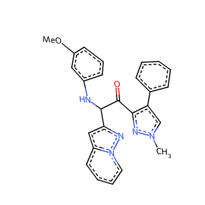 COc1cccc(NC(C(=O)c2nn(C)cc2-c2ccccc2)c2cc3ccccn3n2)c1